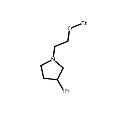 CCOCCN1CCC(C(C)C)C1